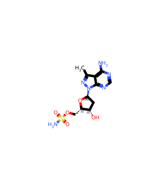 Cc1nn([C@H]2C[C@H](O)[C@H](COS(N)(=O)=O)O2)c2ncnc(N)c12